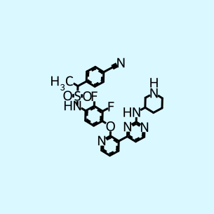 CC(c1ccc(C#N)cc1)S(=O)(=O)Nc1ccc(Oc2ncccc2-c2ccnc(NC3CCCNC3)n2)c(F)c1F